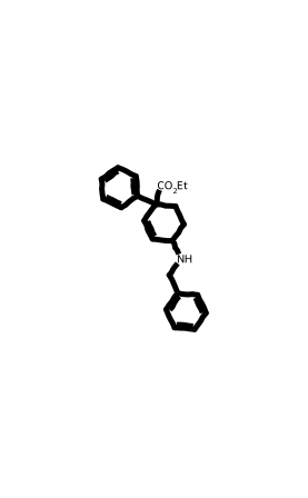 CCOC(=O)C1(c2ccccc2)C=CC(NCc2ccccc2)CC1